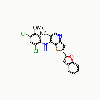 COc1cc(Nc2c(C#N)cnc3cc(-c4cc5ccccc5o4)sc23)c(Cl)cc1Cl